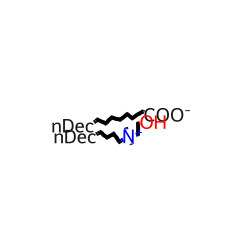 CCCCCCCCCCCCCCCCCC(=O)[O-].CCCCCCCCCCCCCC[N+](C)(C)CCO